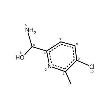 Cc1nc(C(N)O)ccc1Cl